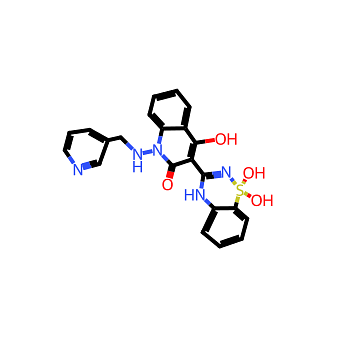 O=c1c(C2=NS(O)(O)c3ccccc3N2)c(O)c2ccccc2n1NCc1cccnc1